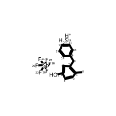 Cc1ccc(O)cc1Cc1ccccc1.S.[F][Sb-]([F])([F])([F])([F])[F].[H+]